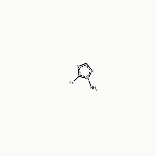 Nn1ncnc1S